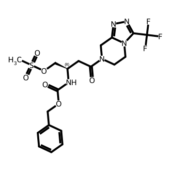 CS(=O)(=O)OC[C@@H](CC(=O)N1CCn2c(nnc2C(F)(F)F)C1)NC(=O)OCc1ccccc1